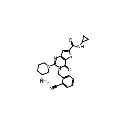 N#Cc1ccccc1Cn1c(N2CCC[C@@H](N)C2)nc2cc(C(=O)NC3CC3)sc2c1=O